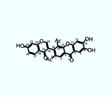 CC(=O)c1cc2c(=O)c3cc(O)c(O)cc3oc2c(C(C)=O)c1-c1coc2cc(O)ccc2c1=O